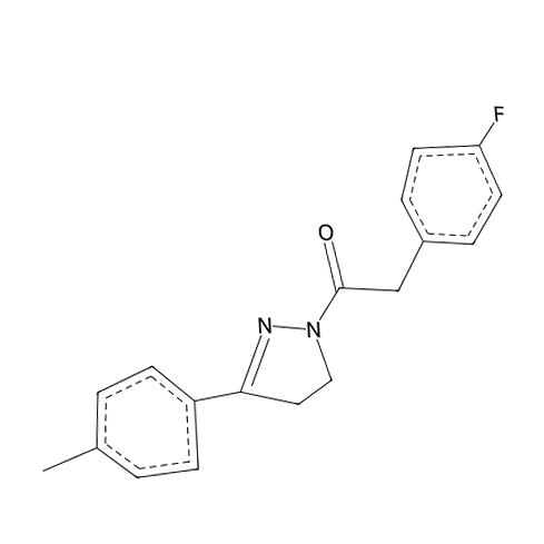 Cc1ccc(C2=NN(C(=O)Cc3ccc(F)cc3)CC2)cc1